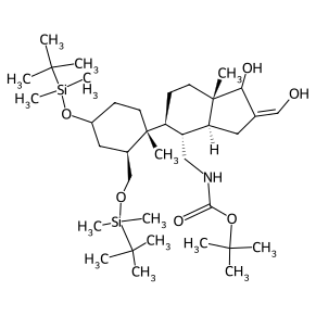 CC(C)(C)OC(=O)NC[C@@H]1[C@@H]([C@@]2(C)CCC(O[Si](C)(C)C(C)(C)C)C[C@@H]2CO[Si](C)(C)C(C)(C)C)CC[C@]2(C)C(O)/C(=C\O)C[C@@H]12